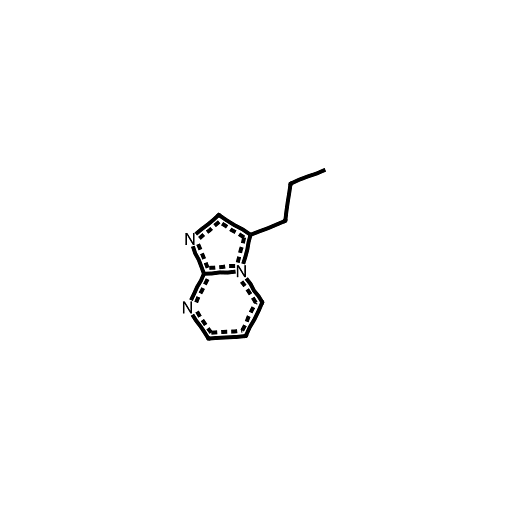 CCCc1cnc2ncccn12